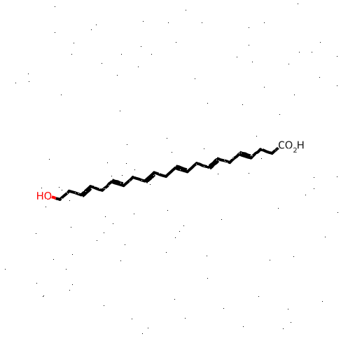 O=C(O)CCC=CCC=CCC=CCC=CCC=CCC=CCCO